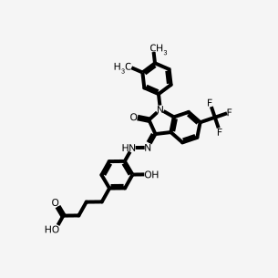 Cc1ccc(N2C(=O)C(=NNc3ccc(CCCC(=O)O)cc3O)c3ccc(C(F)(F)F)cc32)cc1C